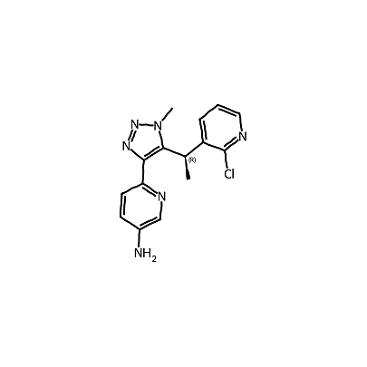 C[C@H](c1cccnc1Cl)c1c(-c2ccc(N)cn2)nnn1C